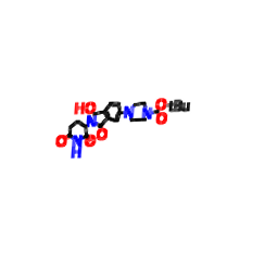 CC(C)(C)OC(=O)N1CCN(c2ccc3c(c2)C(=O)N(C2CCC(=O)NC2=O)C3O)CC1